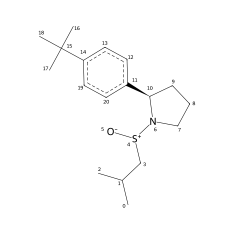 CC(C)C[S+]([O-])N1CCC[C@@H]1c1ccc(C(C)(C)C)cc1